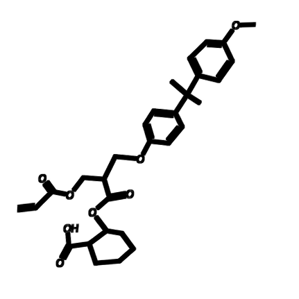 C=CC(=O)OCC(COc1ccc(C(C)(C)c2ccc(OC)cc2)cc1)C(=O)OC1CCCCC1C(=O)O